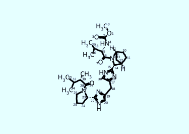 COC(=O)N[C@H](C(=O)N1[C@@H]2CC[C@@H](C2)[C@H]1c1nc(Cc2c[nH]c([C@@H]3CCCN3C(=O)[C@@H](C)C(C)C)n2)c[nH]1)C(C)C